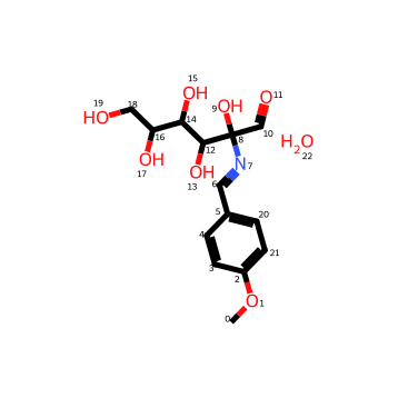 COc1ccc(C=NC(O)(C=O)C(O)C(O)C(O)CO)cc1.O